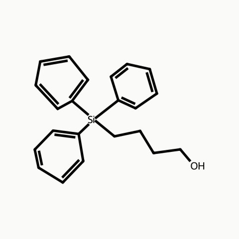 OCCCC[Si](c1ccccc1)(c1ccccc1)c1ccccc1